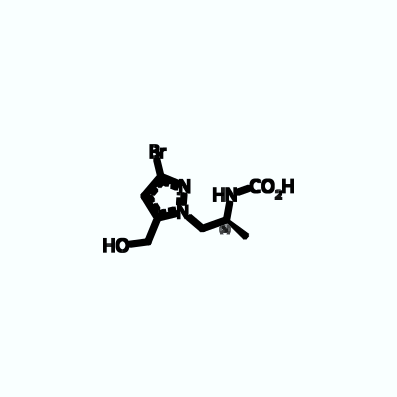 C[C@@H](Cn1nc(Br)cc1CO)NC(=O)O